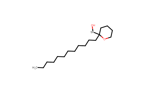 CCCCCCCCCCCC[C]1([Sn][OH])CCCCO1